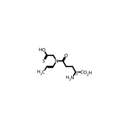 CC=CN(CC(O)=S)C(=O)CC[C@H](N)C(=O)O